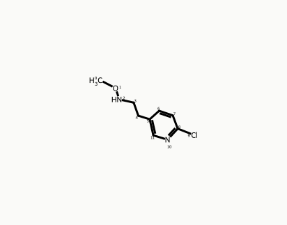 CONCCc1ccc(Cl)nc1